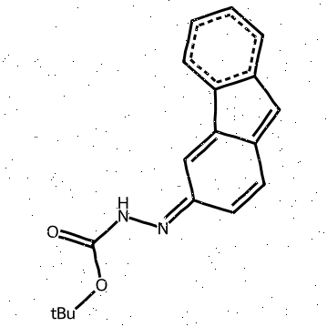 CC(C)(C)OC(=O)NN=C1C=CC2=Cc3ccccc3C2=C1